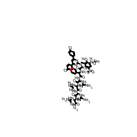 N=C(N)NC(NC(=O)C(NC(=N)N)NC(=O)C(NC(=N)N)NC(=O)C(NC(=N)N)NC(=O)C(NC(=O)C(O)N(Cc1cc([N+](=O)[O-])cc(NOO)c1O)c1nc(-c2ccc(Cl)cc2)cc(-c2ccc(Cl)cc2)n1)c1ccccc1)C(N)=O